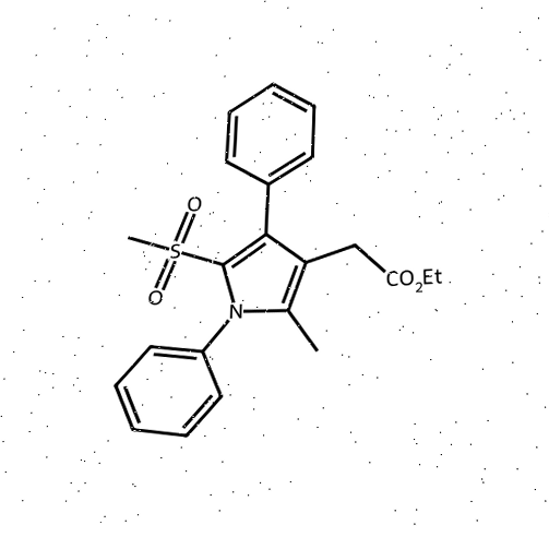 CCOC(=O)Cc1c(-c2ccccc2)c(S(C)(=O)=O)n(-c2ccccc2)c1C